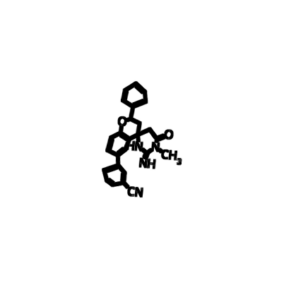 CN1C(=N)NC2(CC1=O)CC(c1ccccc1)Oc1ccc(-c3cccc(C#N)c3)cc12